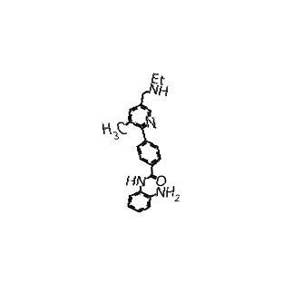 CCNCc1cnc(-c2ccc(C(=O)Nc3ccccc3N)cc2)c(C)c1